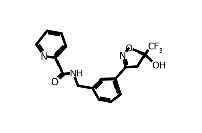 O=C(NCc1cccc(C2=NOC(O)(C(F)(F)F)C2)c1)c1ccccn1